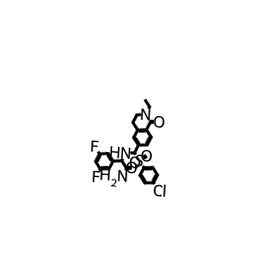 CCN1CCc2cc(C(NC(C(N)=O)c3cc(F)cc(F)c3)S(=O)(=O)c3ccc(Cl)cc3)ccc2C1=O